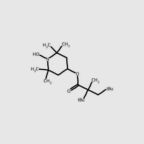 CC(C)(C)CC(C)(C(=O)OC1CC(C)(C)N(O)C(C)(C)C1)C(C)(C)C